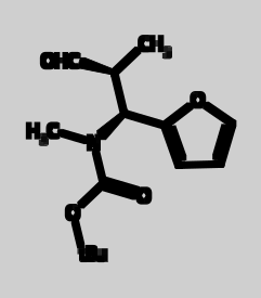 C[C@H](C=O)[C@@H](c1ccco1)N(C)C(=O)OC(C)(C)C